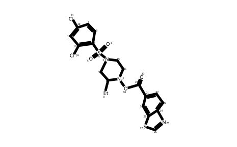 CCC1CN(S(=O)(=O)c2ccc(Cl)cc2Cl)CCN1OC(=O)c1ccc2ncsc2c1